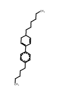 CCCCCCC1C=CC(c2ccc(CCCCC)cc2)=CC1